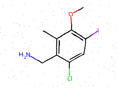 COc1c(I)cc(Cl)c(CN)c1C